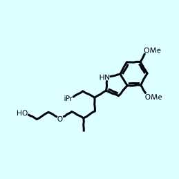 COc1cc(OC)c2cc(C(CC(C)C)CC(C)COCCO)[nH]c2c1